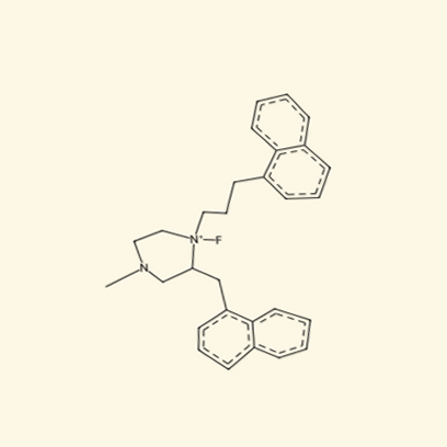 CN1CC[N+](F)(CCCc2cccc3ccccc23)C(Cc2cccc3ccccc23)C1